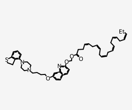 CC/C=C\C/C=C\C/C=C\C/C=C\C/C=C\C/C=C\CCC(=O)OCOc1ccc2ccc(OCCCCN3CCN(c4cccc5c4CCS5)CC3)cc2n1